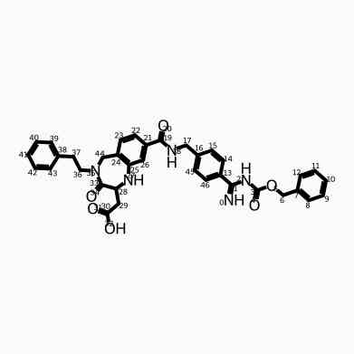 N=C(NC(=O)OCc1ccccc1)c1ccc(CNC(=O)c2ccc3c(c2)NC(CC(=O)O)C(=O)N(CCc2ccccc2)C3)cc1